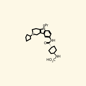 CCCn1c2c(c3cc(NC(=O)[C@H]4CC[C@H](NC(=O)O)CC4)ccc31)CN(C1CCCC1)CC2